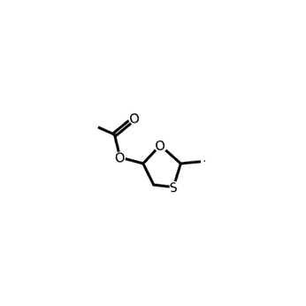 [CH2]C1OC(OC(C)=O)CS1